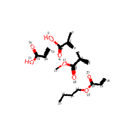 C=C(C)C(=O)O.C=C(C)C(=O)OC.C=CC(=O)O.C=CC(=O)OCCCC